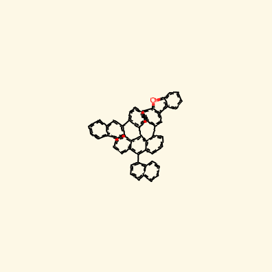 c1ccc(-c2c3ccccc3c(-c3cccc4ccccc34)c3cccc(-c4ccc5oc6ccccc6c5c4)c23)c(-c2ccc3ccccc3c2)c1